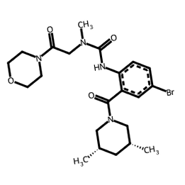 C[C@@H]1C[C@H](C)CN(C(=O)c2cc(Br)ccc2NC(=O)N(C)CC(=O)N2CCOCC2)C1